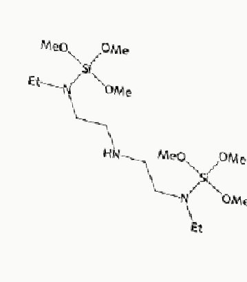 CCN(CCNCCN(CC)[Si](OC)(OC)OC)[Si](OC)(OC)OC